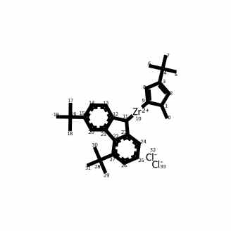 CC1C=C(C(C)(C)C)C=[C]1[Zr+2][CH]1c2ccc(C(C)(C)C)cc2-c2c1cccc2C(C)(C)C.[Cl-].[Cl-]